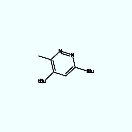 Cc1nnc(C(C)(C)C)cc1C(C)(C)C